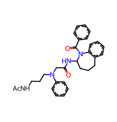 CC(=O)NCCCN(CC(=O)NC1CCCc2ccccc2N1C(=O)c1ccccc1)c1ccccc1